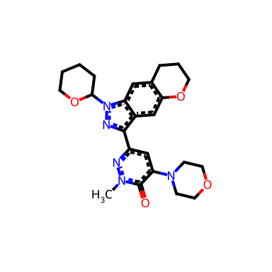 Cn1nc(-c2nn(C3CCCCO3)c3cc4c(cc23)OCCC4)cc(N2CCOCC2)c1=O